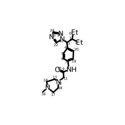 CCC(CC)C(c1ccc(NC(=O)CN2CCN(C)CC2)cc1)n1cncn1